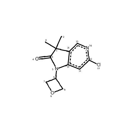 CC1(C)C(=O)N(C2COC2)c2cc(Cl)ncc21